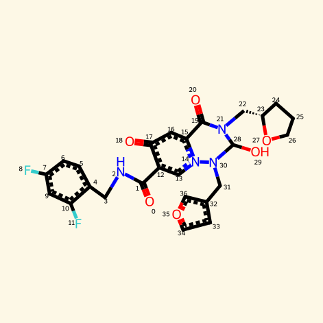 O=C(NCc1ccc(F)cc1F)c1cn2c(cc1=O)C(=O)N(C[C@@H]1CCCO1)C(O)N2Cc1ccoc1